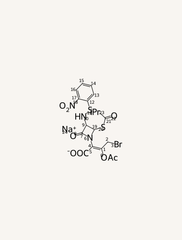 CC(=O)OC(CBr)=C(C(=O)[O-])N1C(=O)C(NSc2ccccc2[N+](=O)[O-])C1SC(=O)C(C)C.[Na+]